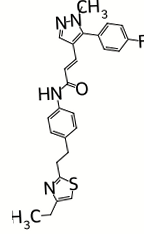 CCc1csc(CCc2ccc(NC(=O)C=Cc3cnn(C)c3-c3ccc(F)cc3)cc2)n1